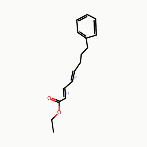 CCOC(=O)/C=C/C=C/CCCc1ccccc1